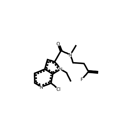 C=C(F)CCN(C)C(=O)c1cc2ccnc(Cl)c2n1CC